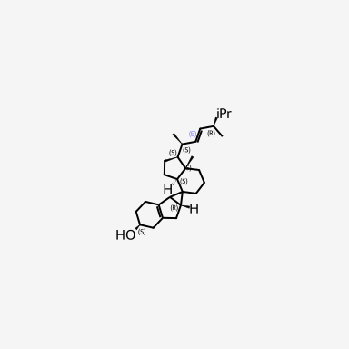 CC(C)[C@@H](C)/C=C/[C@H](C)[C@@H]1CC[C@@H]2C3(CCC[C@]21C)C1C2=C(C[C@@H](O)CC2)C[C@H]13